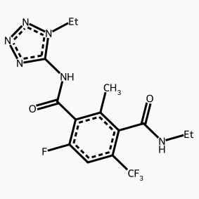 CCNC(=O)c1c(C(F)(F)F)cc(F)c(C(=O)Nc2nnnn2CC)c1C